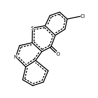 O=c1c2cc(Cl)ccc2sc2cnc3ccccc3c12